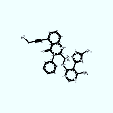 Cc1nnc(-c2c(N)ncnc2N[C@@H](C)c2nc3cccc(C#CCO)c3c(=O)n2-c2ccccc2)o1